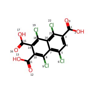 O=C(O)c1cc(Cl)c2c(Cl)c(C(=O)O)c(C(=O)O)c(Cl)c2c1Cl